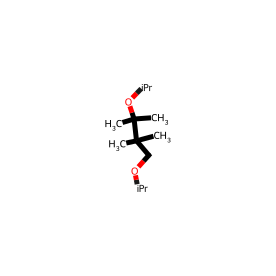 CC(C)OCC(C)(C)C(C)(C)OC(C)C